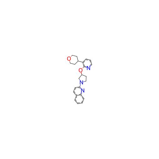 c1cnc(O[C@H]2CCN(c3ccc4ccccc4n3)C2)c(C2CCOCC2)c1